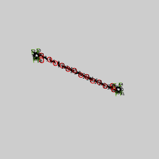 O=C(CCOCCOCCOCCOCCOCCOCCOCCOCCOCCOCCC(=O)Oc1c(F)c(F)cc(F)c1F)Oc1c(F)c(F)cc(F)c1F